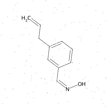 C=CCc1cc[c]c(/C=N\O)c1